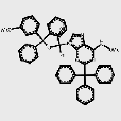 CCC(CO)(OC(c1ccccc1)(c1ccccc1)c1cccc(OC)c1)n1cnc2c(NOC)nc(C(c3ccccc3)(c3ccccc3)c3ccccc3)nc21